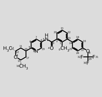 Cc1c(C(=O)Nc2ccc(C3C[C@@H](C)O[C@@H](C)C3)nc2)cccc1-c1ccc(OC(F)(F)F)cc1